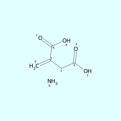 C=C(CC(=O)O)C(=O)O.N